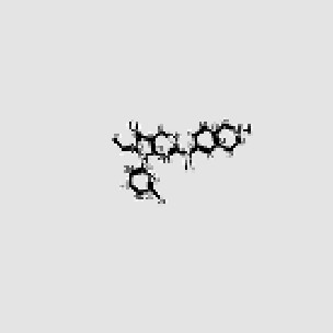 CCn1c(=O)c2cnc(Nc3ccc4c(c3)CCNC4)nc2n1-c1cccc(C)n1